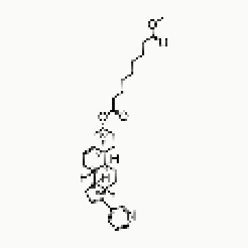 COC(=O)CCCCCCCC(=O)O[C@@H]1CC[C@@]2(C)C(=CC[C@@H]3[C@@H]2CC[C@]2(C)C(c4cccnc4)=CC[C@@H]32)C1